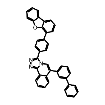 c1ccc(-c2cccc(-c3cn4c(-c5ccc(-c6cccc7c6oc6ccccc67)cc5)nnc4c4ccccc34)c2)cc1